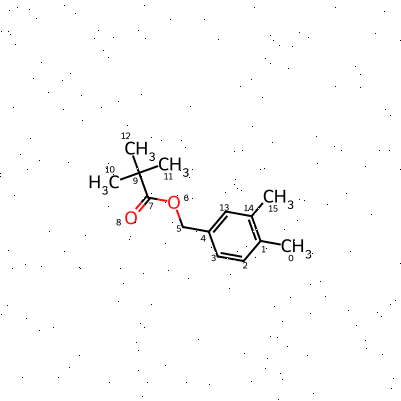 Cc1ccc(COC(=O)C(C)(C)C)cc1C